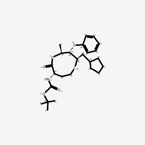 C[C@@H]1OC(=O)[C@@H](NC(=O)OC(C)(C)C)CCC[C@H](CC2CCCC2)[C@H]1Oc1ccccc1